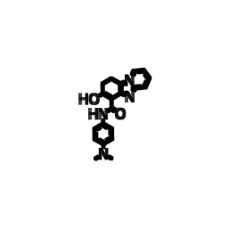 CN(C)c1ccc(NC(=O)C2=C(O)CCc3c2nc2ccccn32)cc1